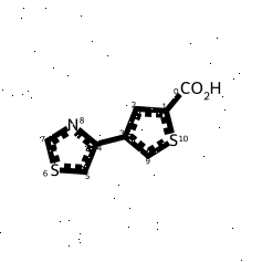 O=C(O)c1cc(-c2cscn2)cs1